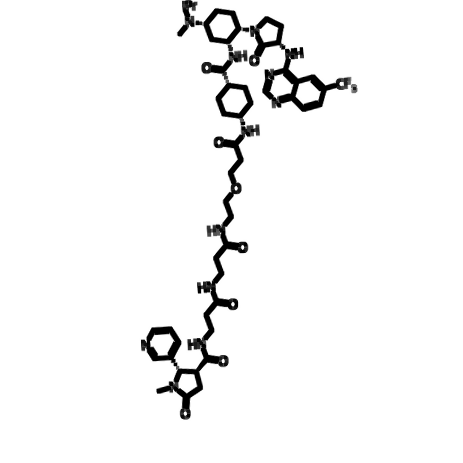 CC(C)N(C)[C@@H]1CC[C@H](N2CC[C@H](Nc3ncnc4ccc(C(F)(F)F)cc34)C2=O)[C@H](NC(=O)[C@H]2CC[C@@H](NC(=O)CCOCCNC(=O)CCNC(=O)CCNC(=O)[C@H]3CC(=O)N(C)[C@@H]3c3cccnc3)CC2)C1